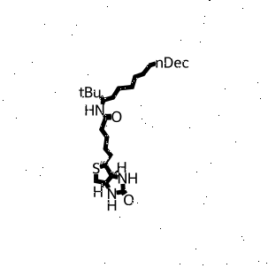 CCCCCCCCCCCCCCCCC(NC(=O)CCCC[C@@H]1SC[C@@H]2NC(=O)N[C@@H]21)C(C)(C)C